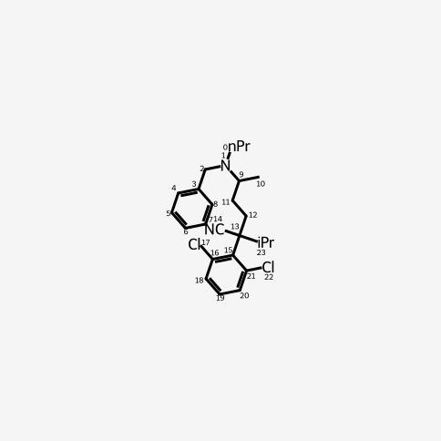 CCCN(Cc1ccccc1)C(C)CCC(C#N)(c1c(Cl)cccc1Cl)C(C)C